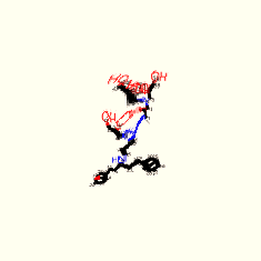 OCC(O)CN(CCCNC(CCC1CC2CCC1CC2)CCC1CC2CCC1CC2)CCCN(CC(O)CO)CC(O)CO